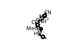 COc1cc(Cl)c(C(=O)N[C@@H](CN)Cc2ccc(C#N)cc2)cc1-c1ccc(CN[C@H](C)c2ccc(C)cc2)o1